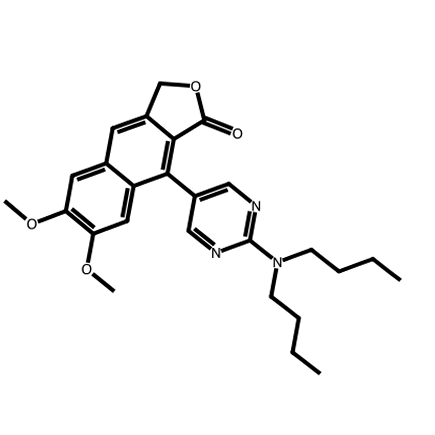 CCCCN(CCCC)c1ncc(-c2c3c(cc4cc(OC)c(OC)cc24)COC3=O)cn1